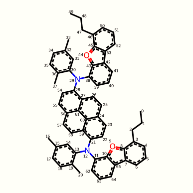 CCCc1cccc2c1oc1c(N(c3cc(C)ccc3C)c3ccc4ccc5c(N(c6cc(C)ccc6C)c6cccc7c6oc6c(CCC)cccc67)ccc6ccc3c4c65)cccc12